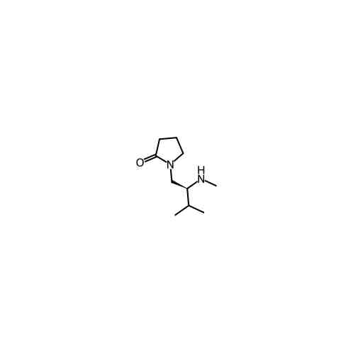 CN[C@H](CN1CCCC1=O)C(C)C